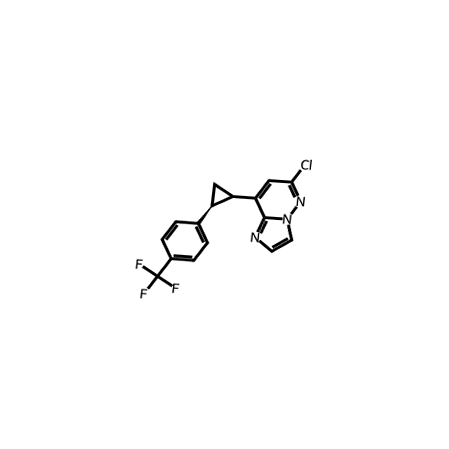 FC(F)(F)c1ccc([C@H]2CC2c2cc(Cl)nn3ccnc23)cc1